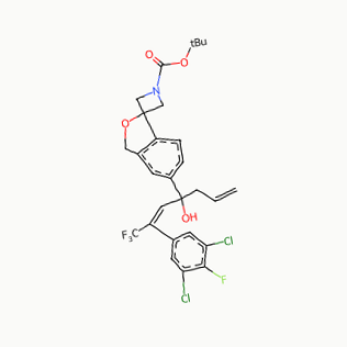 C=CCC(O)(/C=C(\c1cc(Cl)c(F)c(Cl)c1)C(F)(F)F)c1ccc2c(c1)COC21CN(C(=O)OC(C)(C)C)C1